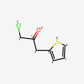 O=C(CCl)Cc1cccs1